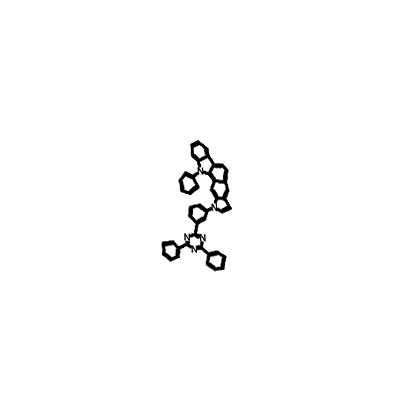 c1ccc(-c2nc(-c3ccccc3)nc(-c3cccc(-n4ccc5cc6ccc7c8ccccc8n(-c8ccccc8)c7c6cc54)c3)n2)cc1